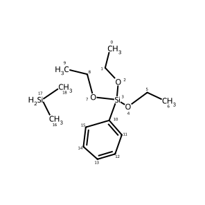 CCO[Si](OCC)(OCC)c1ccccc1.C[SiH2]C